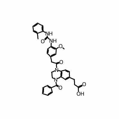 COc1cc(CC(=O)N2CCN(C(=O)c3ccccc3)c3cc(CCC(=O)O)ccc32)ccc1NC(=O)Nc1ccccc1C